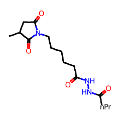 CCCC(=O)NNC(=O)CCCCCN1C(=O)CC(C)C1=O